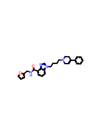 O=C(NCc1ccco1)c1cccc2c1ncn2CCCCN1CC=C(c2ccccc2)CC1